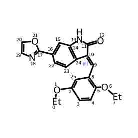 CCOc1ccc(OCC)c(/C=C2/C(=O)Nc3cc(-c4ncco4)ccc32)c1